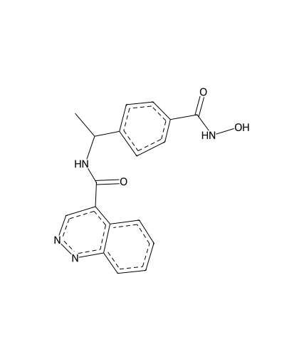 CC(NC(=O)c1cnnc2ccccc12)c1ccc(C(=O)NO)cc1